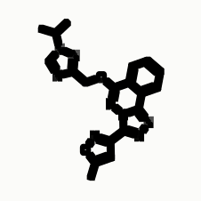 Cc1cc(-c2nnc3c4ccccc4c(OCc4ncn(C(C)C)n4)nn23)no1